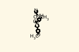 COc1ccc(C2CCN(C(=O)c3ccc(C)c(NC(=O)c4ccncc4)c3)CC2)cc1